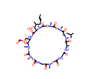 C/C=C/CC(C)[C@@H](O)C1C(=O)NC([C@@H](C)OC=O)C(=O)N(C)CC(=O)N(C)CC(=O)NCC(=O)N(C)CC(=O)NCC(=O)N[C@H](C)C(=O)N(C)[C@@H](CC(C)C)C(=O)N(C)CC(=O)N(C)CC(=O)N1C